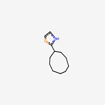 c1cpc(C2CCCCCCCC2)[nH]1